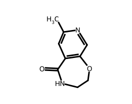 Cc1cc2c(cn1)OCCNC2=O